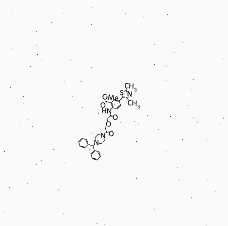 COC(=O)c1cc(-c2sc(C)nc2C)ccc1NC(=O)COCC(=O)N1CCN(C(c2ccccc2)c2ccccc2)CC1